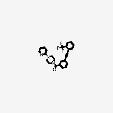 O=C(c1cccc(C#Cc2ccccc2C(F)(F)F)c1)N1CCN(c2ccccn2)CC1